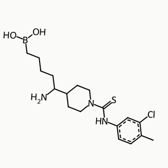 Cc1ccc(NC(=S)N2CCC(C(N)CCCCB(O)O)CC2)cc1Cl